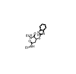 CCNC(=O)CC(Sc1nc2ccccc2[nH]1)C(=O)NCC